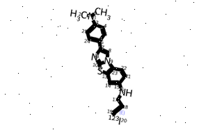 CN(C)c1ccc(-c2cn3c(n2)sc2cc(NC/C=C/[123I])ccc23)cc1